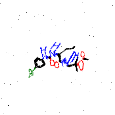 CCC[C@H](NC(=O)Nc1ccc(Br)cc1)C(=O)NCC(C)(C)OC(C)=O